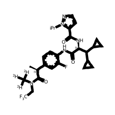 [2H]C([2H])([2H])N(CC(F)(F)F)C(=O)[C@@H](C)c1ccc(NC(=O)[C@@H](NC(=O)c2ccnn2C(C)C)C(C2CC2)C2CC2)c(F)c1